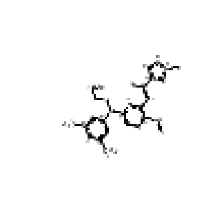 C=Nc1ccc(N(CCOC)c2cc(OC)cc(OC)c2)nc1/C=C(\C)c1cnn(C)c1